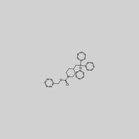 O=C(OCc1ccccc1)N1CCC(C[PH](c2ccccc2)(c2ccccc2)c2ccccc2)CC1